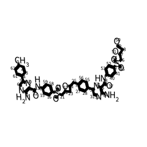 Cc1ccc(-c2cnc(N)c(C(=O)Nc3ccc(S(=O)(=O)CC4CC(Cc5ccc(-c6cnc(N)c(C(=O)Nc7ccc(S(=O)(=O)CC8CC(=O)O8)cc7)n6)cc5)O4)cc3)n2)cc1